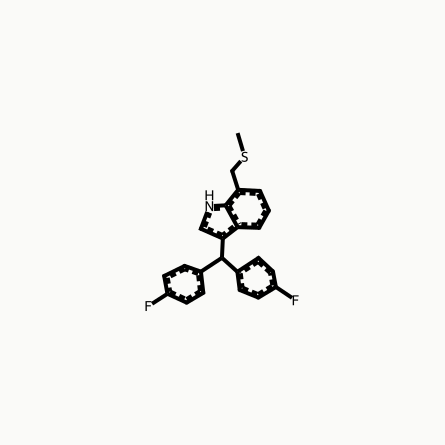 CSCc1cccc2c(C(c3ccc(F)cc3)c3ccc(F)cc3)c[nH]c12